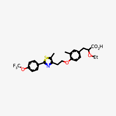 CCOC(Cc1ccc(OCCc2nc(-c3ccc(OC(F)(F)F)cc3)sc2C)c(C)c1)C(=O)O